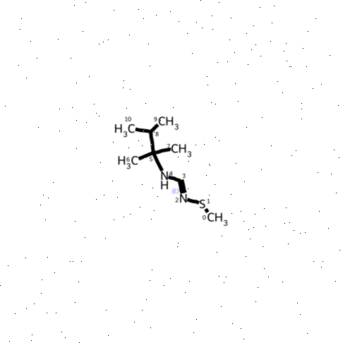 CS/N=C/NC(C)(C)C(C)C